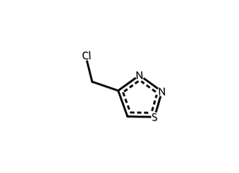 ClCc1csnn1